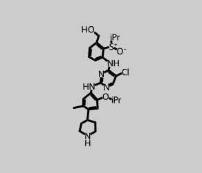 Cc1cc(Nc2ncc(Cl)c(Nc3cccc(CO)c3[S+]([O-])C(C)C)n2)c(OC(C)C)cc1C1CCNCC1